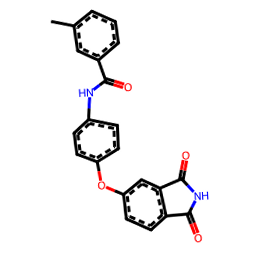 Cc1cccc(C(=O)Nc2ccc(Oc3ccc4c(c3)C(=O)NC4=O)cc2)c1